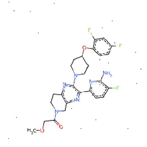 COCC(=O)N1CCc2nc(N3CCC(Oc4ccc(F)cc4F)CC3)c(-c3ccc(F)c(N)n3)nc2C1